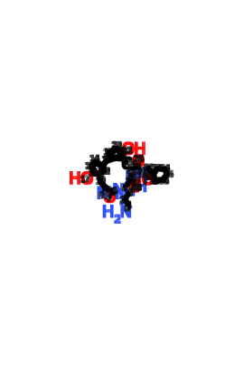 NCCC[C@@H]1NC(=O)[C@@H](N)Cc2cc(ccc2O)-c2ccc(O)c(c2)C[C@@H](C(=O)NCC2(O)CCCCC2)NC1=O